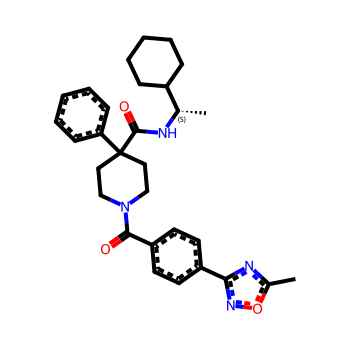 Cc1nc(-c2ccc(C(=O)N3CCC(C(=O)N[C@@H](C)C4CCCCC4)(c4ccccc4)CC3)cc2)no1